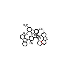 CC1=CC2C3CC(C)CC(C)C3N(C3CC(N4C5=C(CCCC5)C5CCCCC54)C(C#N)CC3C3NC(C4C=CCC5SC6CC=CCC6C54)N3C3CCCCC3)C2C(C)=C1